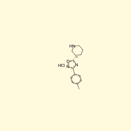 Cc1ccc(-c2noc([C@H]3CCCNC3)n2)cc1.Cl